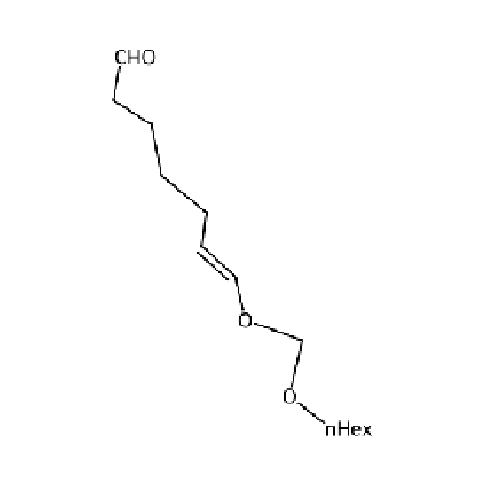 CCCCCCOCOC=CCCCCC=O